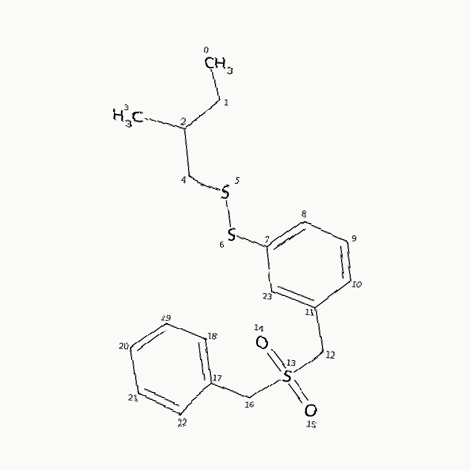 CCC(C)CSSc1cccc(CS(=O)(=O)Cc2ccccc2)c1